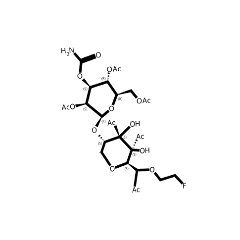 CC(=O)OC[C@H]1O[C@@H](O[C@H]2[CH]O[C@H](C(OCCF)C(C)=O)[C@@](O)(C(C)=O)[C@]2(O)C(C)=O)[C@@H](OC(C)=O)[C@@H](OC(N)=O)[C@@H]1OC(C)=O